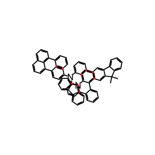 CC1(C)c2ccccc2-c2cc(-c3cccc(N(c4ccc(-c5cccc6cccc(-c7ccccc7)c56)cc4)c4cccc(-c5ccccc5-c5ccccc5-n5c6ccccc6c6ccccc65)c4)c3)ccc21